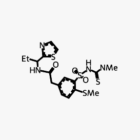 CCC(NC(=O)Cc1ccc(SC)c(S(=O)(=O)NC(=S)NC)c1)c1nccs1